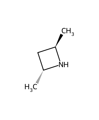 C[C@@H]1C[C@@H](C)N1